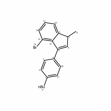 CCCCc1ccc(C2=CC(C)c3cccc(Br)c32)cc1